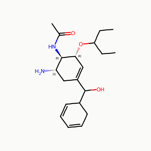 CCC(CC)O[C@@H]1C=C(C(O)C2C=CC=CC2)C[C@H](N)[C@H]1NC(C)=O